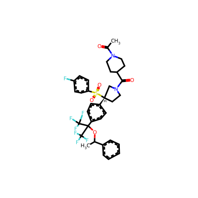 CC(=O)N1CCC(C(=O)N2CC[C@](c3ccc(C(OC(C)c4ccccc4)(C(F)(F)F)C(F)(F)F)cc3)(S(=O)(=O)c3ccc(F)cc3)C2)CC1